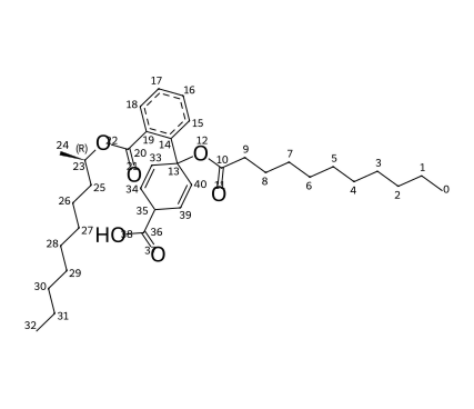 CCCCCCCCCCC(=O)OC1(c2ccccc2C(=O)O[C@H](C)CCCCCCCC)C=CC(C(=O)O)C=C1